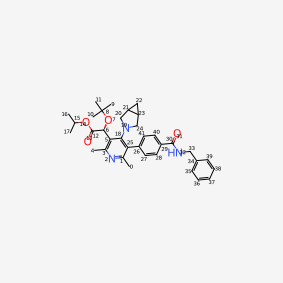 Cc1nc(C)c([C@H](OC(C)(C)C)C(=O)OC(C)C)c(N2CC3CC3C2)c1-c1ccc(C(=O)NCc2ccccc2)cc1